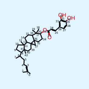 CC(C)=CCCC(C)C1CCC2(C)C3CCC4C(C)(C)C(OC(=O)/C=C/c5ccc(O)c(O)c5)CCC45CC35CCC12C